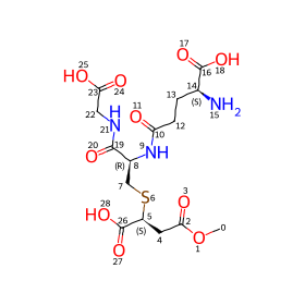 COC(=O)C[C@H](SC[C@H](NC(=O)CC[C@H](N)C(=O)O)C(=O)NCC(=O)O)C(=O)O